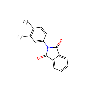 O=C1c2ccccc2C(=O)N1c1ccc([N+](=O)[O-])c(C(F)(F)F)c1